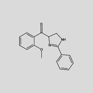 COc1ccccc1C(=O)C1CNC(c2ccccc2)=N1